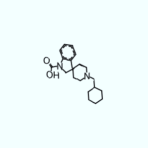 O=C(O)N1CC2(CCN(CC3CCCCC3)CC2)c2ccccc21